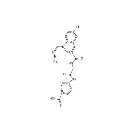 C=N/N=C\N(N)c1ccc(Cl)cc1/C=C/C(=O)NCC(=O)Nc1ccc(C(=O)O)cc1